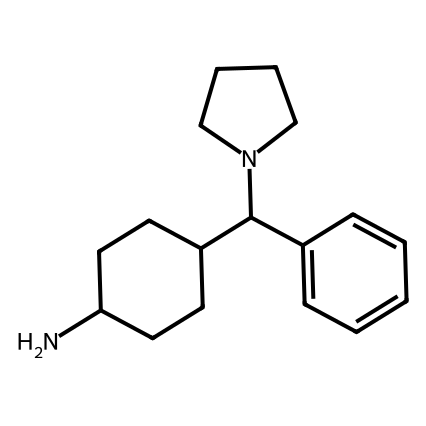 NC1CCC(C(c2ccccc2)N2CCCC2)CC1